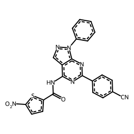 N#Cc1ccc(-c2nc(NC(=O)c3ccc([N+](=O)[O-])s3)c3cnn(-c4ccccc4)c3n2)cc1